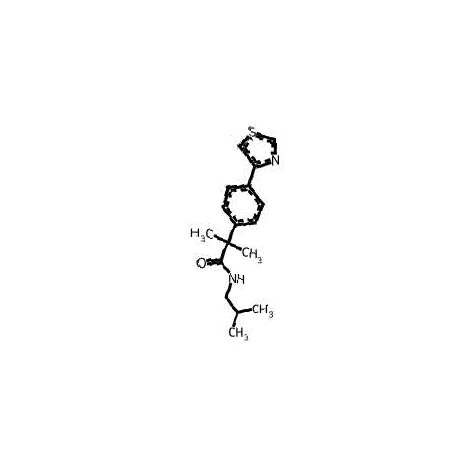 CC(C)CNC(=O)C(C)(C)c1ccc(-c2cscn2)cc1